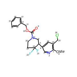 COc1ncc(C2CN(C(=O)OCc3ccccc3)CCC2(F)F)cc1CCl